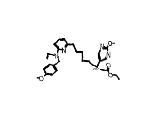 CCOC(=O)C[C@H](CCCCCCc1cccc(N(CC)Cc2ccc(OC)cc2)n1)c1cnc(OC)nc1